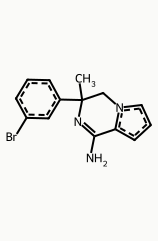 CC1(c2cccc(Br)c2)Cn2cccc2C(N)=N1